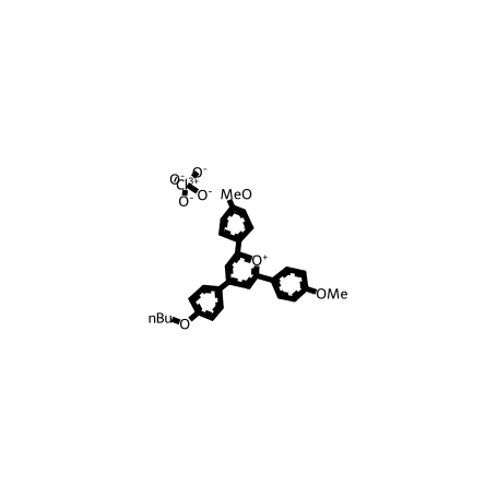 CCCCOc1ccc(-c2cc(-c3ccc(OC)cc3)[o+]c(-c3ccc(OC)cc3)c2)cc1.[O-][Cl+3]([O-])([O-])[O-]